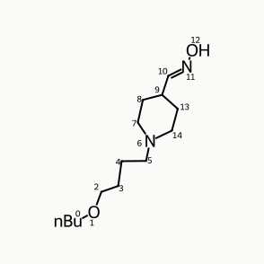 CCCCOCCCCN1CCC(C=NO)CC1